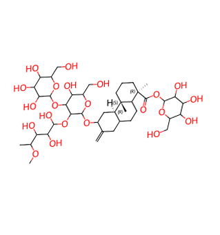 C=C1CC2CCC3[C@](C)(C(=O)OC4OC(CO)C(O)C(O)C4O)CCC[C@@]3(C)[C@@H]2CC1OC1OC(CO)C(O)C(OC2OC(CO)C(O)C(O)C2O)C1OC(O)C(O)C(O)C(C)OC